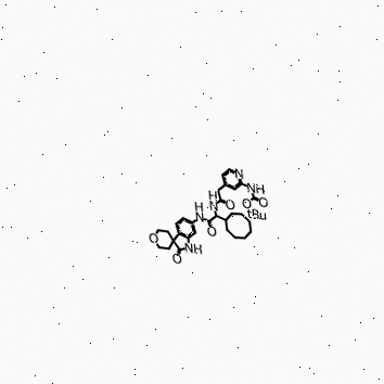 CC(C)(C)OC(=O)Nc1cc(CC(=O)NC(C(=O)Nc2ccc3c(c2)NC(=O)C32CCOCC2)C2CCCCCCC2)ccn1